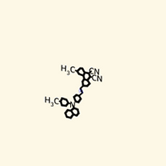 Cc1ccc(N(c2ccc(/C=C/c3ccc4c(C#N)c(C#N)c5ccc(C)cc5c4c3)cc2)c2cccc3ccccc23)cc1